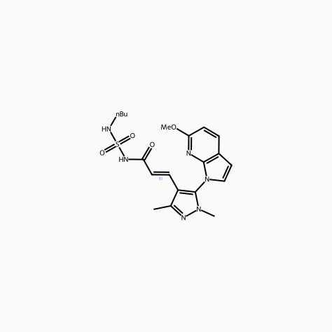 CCCCNS(=O)(=O)NC(=O)/C=C/c1c(C)nn(C)c1-n1ccc2ccc(OC)nc21